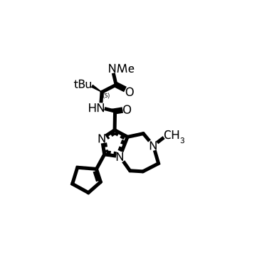 CNC(=O)[C@@H](NC(=O)c1nc(C2=CCCC2)n2c1CN(C)CCC2)C(C)(C)C